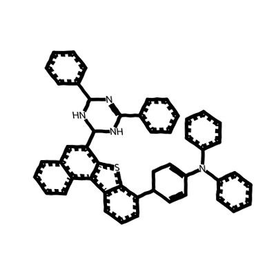 C1=CC(c2cccc3c2sc2c(C4NC(c5ccccc5)=NC(c5ccccc5)N4)cc4ccccc4c23)CC=C1N(c1ccccc1)c1ccccc1